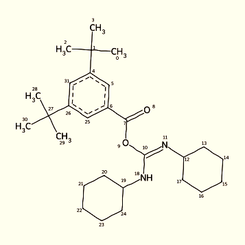 CC(C)(C)c1cc(C(=O)O/C(=N/C2CCCCC2)NC2CCCCC2)cc(C(C)(C)C)c1